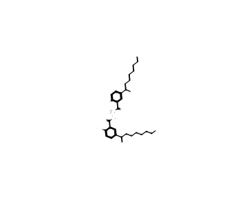 CCCCCCCC(C)c1ccc(O)c(C(=O)NNC(=O)c2cc(C(C)CCCCCCC)ccc2O)c1